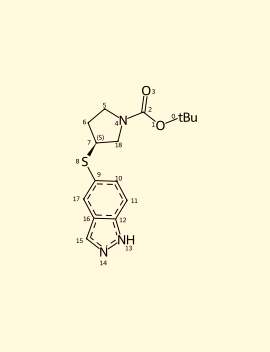 CC(C)(C)OC(=O)N1CC[C@H](Sc2ccc3[nH]ncc3c2)C1